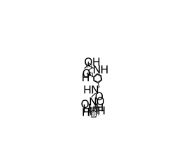 O=C(CN1C(=O)[C@@H]2[C@H]3CC[C@H](C3)[C@@H]2C1=O)NCc1ccc2c(c1)[C@H]1CC(N2)[C@H](O)CO1